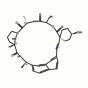 CC(=O)O[C@H]1CC[C@@]2(/C=C/c3ccc4ccc(nc4c3)[C@@H](C)NC(=O)[C@@H]3CCCN(N3)C(=O)[C@H](C)NC(=O)C(C(C)C)OC2=O)CC1